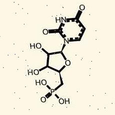 O=c1ccn([C@H]2O[C@@H](CP(=O)(O)O)C(O)C2O)c(=O)[nH]1